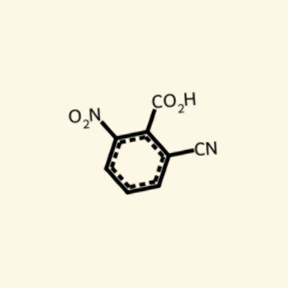 N#Cc1cccc([N+](=O)[O-])c1C(=O)O